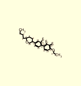 CCCCC1CCC(c2ccc(-c3ccc(OCC)c(F)c3F)c(F)c2)CO1